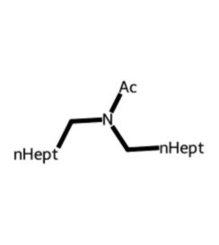 CCCCCCCCN(CCCCCCCC)C(C)=O